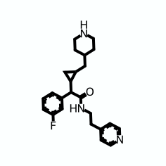 O=C(NCCc1ccncc1)C(c1cccc(F)c1)C1CC1CC1CCNCC1